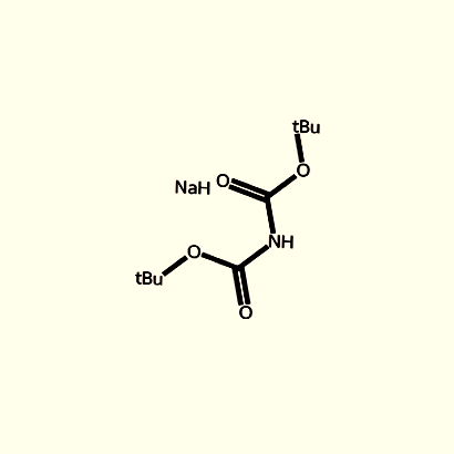 CC(C)(C)OC(=O)NC(=O)OC(C)(C)C.[NaH]